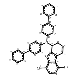 Fc1ccc(Cl)c2oc3c(c12)C=CCC3N(c1ccc(-c2ccccc2)cc1)c1ccc(-c2ccccc2)cc1